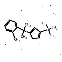 Cc1ccccc1C(C)(C)C1=CC([Si](C)(C)C)=CC1